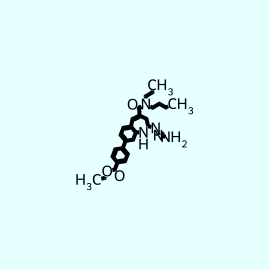 CCCCN(CCC)C(=O)C1=CC2=CC=C(c3ccc(C(=O)OCC)cc3)CC2NC(N=NN)C1